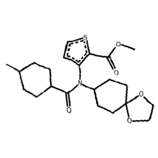 COC(=O)c1sccc1N(C(=O)C1CCC(C)CC1)C1CCC2(CC1)OCCO2